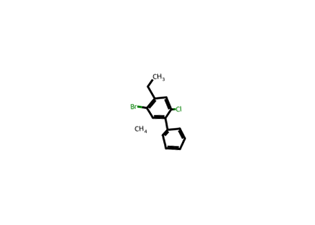 C.CCc1cc(Cl)c(-c2ccccc2)cc1Br